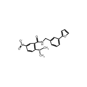 CN(C)c1ccc([N+](=O)[O-])cc1C(=O)NCc1cccc(-c2ccco2)c1